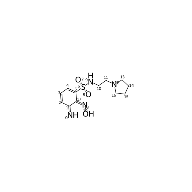 N=C1C=CC=C(S(=O)(=O)NCCN2CCCC2)/C1=N/O